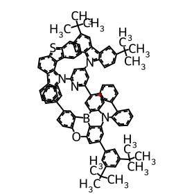 CC(C)(C)c1cc(-c2cc3c4c(c2)N(c2ccccc2-c2ccccc2)c2ccc(-c5cc(-n6c7ccc(C(C)(C)C)cc7c7cc(C(C)(C)C)ccc76)cc(-n6c7ccccc7c7ccc8sc9ccccc9c8c76)n5)cc2B4c2cc(-c4ccccc4)ccc2O3)cc(C(C)(C)C)c1